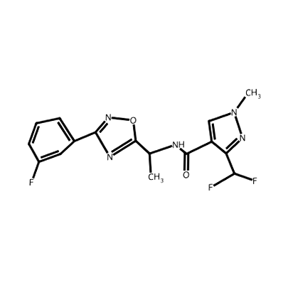 CC(NC(=O)c1cn(C)nc1C(F)F)c1nc(-c2cccc(F)c2)no1